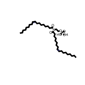 CCCCCCCC/C=C\CCCCCCCC(=O)N(CCOP(=O)(O)O)C(=O)CCCCCCC/C=C\CCCCCCCC